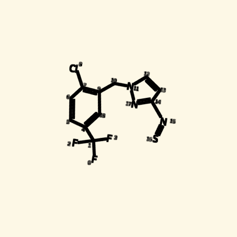 FC(F)(F)c1ccc(Cl)c(Cn2ccc(N=S)n2)c1